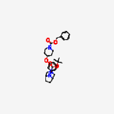 CC(C)(C)OC(=O)N1CC2CCC(C1)N2c1cccc(OC2CCN(C(=O)OCc3ccccc3)CC2)c1